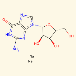 Nc1nc2c(ncn2[C@@H]2O[C@H](CO)[C@@H](O)[C@H]2O)c(=O)[nH]1.[Na].[Na]